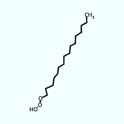 CCCCCCCCCCCCCCCCOOO